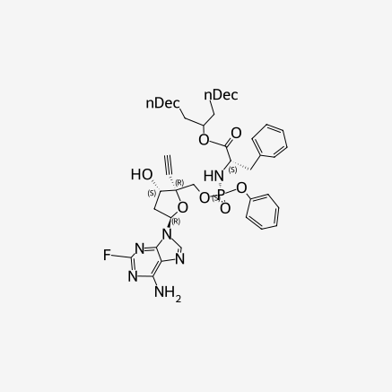 C#C[C@]1(CO[P@@](=O)(N[C@@H](Cc2ccccc2)C(=O)OC(CCCCCCCCCCC)CCCCCCCCCCC)Oc2ccccc2)O[C@@H](n2cnc3c(N)nc(F)nc32)C[C@@H]1O